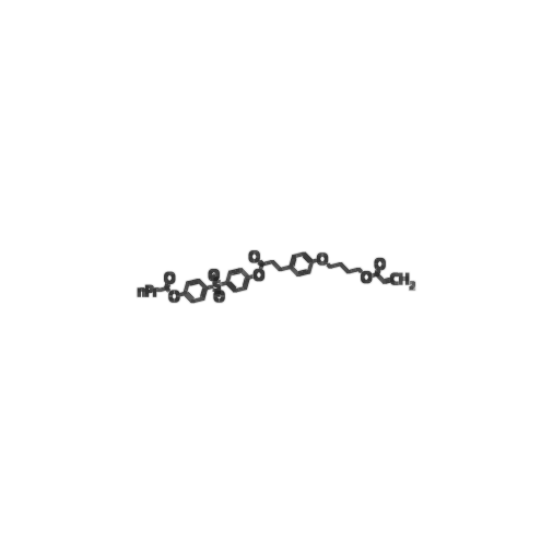 C=CC(=O)OCCCCOc1ccc(CCC(=O)Oc2ccc(S(=O)(=O)c3ccc(OC(=O)CCC)cc3)cc2)cc1